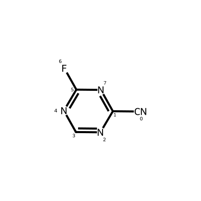 N#Cc1ncnc(F)n1